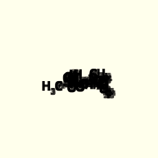 CCCCC[C@@H](C(=O)NCNC(=O)c1ccc(-c2ccc(C(=O)N[C@@H](CC(=O)OCc3ccccc3)C(=O)Oc3ccccc3)c(OCC)c2)o1)[C@@H](CC)N(C=O)OCc1ccccc1